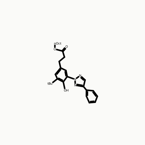 CCCCCCCCOC(=O)CCc1cc(-n2ncc(-c3ccccc3)n2)c(O)c(C(C)(C)C)c1